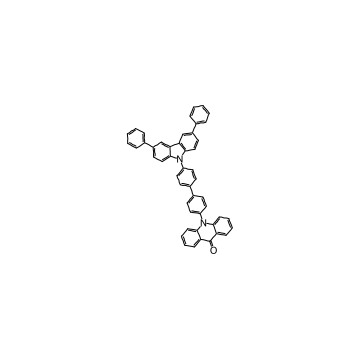 O=c1c2ccccc2n(-c2ccc(-c3ccc(-n4c5ccc(-c6ccccc6)cc5c5cc(-c6ccccc6)ccc54)cc3)cc2)c2ccccc12